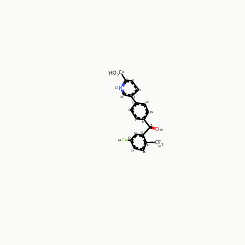 O=C(O)c1ccc(-c2ccc(C(=O)c3cc(F)ccc3C(F)(F)F)cc2)cn1